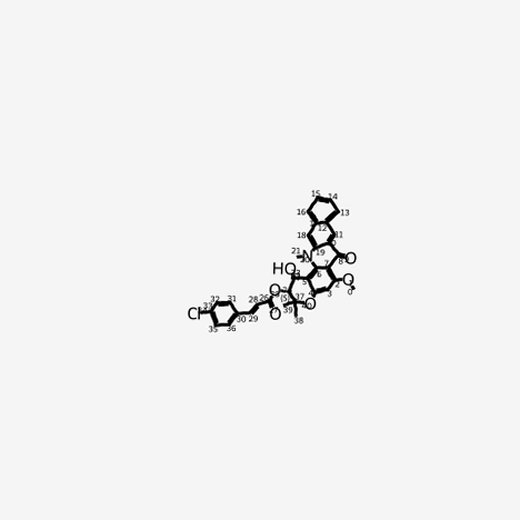 COc1cc2c(c3c1c(=O)c1cc4ccccc4cc1n3C)[C@H](O)[C@H](OC(=O)C=Cc1ccc(Cl)cc1)C(C)(C)O2